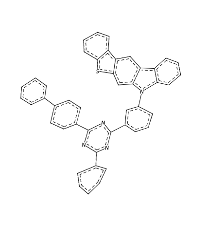 c1ccc(-c2ccc(-c3nc(-c4ccccc4)nc(-c4cccc(-n5c6ccccc6c6cc7c(cc65)sc5ccccc57)c4)n3)cc2)cc1